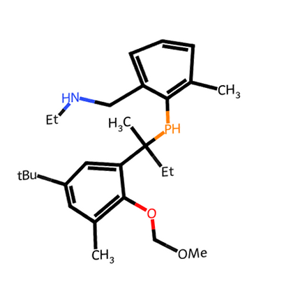 CCNCc1cccc(C)c1PC(C)(CC)c1cc(C(C)(C)C)cc(C)c1OCOC